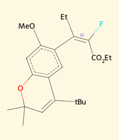 CCOC(=O)/C(F)=C(/CC)c1cc2c(cc1OC)OC(C)(C)C=C2C(C)(C)C